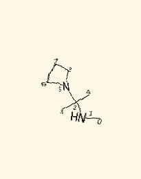 CNC(C)(C)N1CCC1